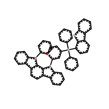 c1ccc(-n2c3ccccc3c3ccc4c5ccccc5n(-c5cc(S(c6ccccc6)(c6ccccc6)c6cccc7c6sc6ccccc67)ccn5)c4c32)cc1